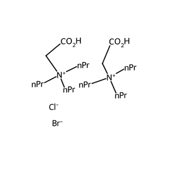 CCC[N+](CCC)(CCC)CC(=O)O.CCC[N+](CCC)(CCC)CC(=O)O.[Br-].[Cl-]